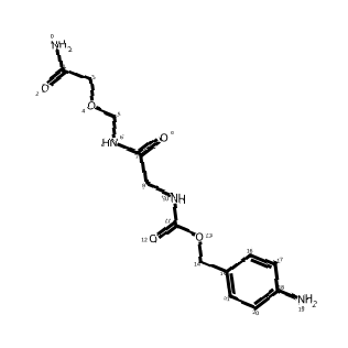 NC(=O)COCNC(=O)CNC(=O)OCc1ccc(N)cc1